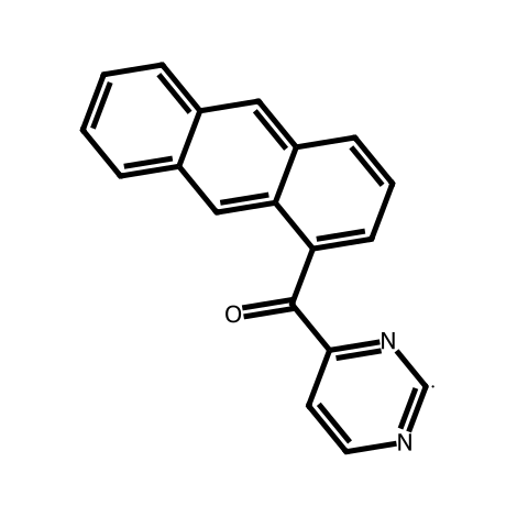 O=C(c1ccn[c]n1)c1cccc2cc3ccccc3cc12